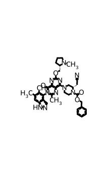 Cc1cc2[nH]ncc2c(-n2c(C)nc3c(N4CCN(C(=O)OCc5ccccc5)[C@@H](CC#N)C4)nc(OC[C@@H]4CCCN4C)nc3c2=O)c1C